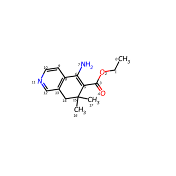 CCOC(=O)C1=C(N)c2ccncc2CC1(C)C